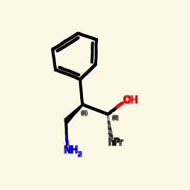 CCC[C@@H](O)[C@@H](CN)c1ccccc1